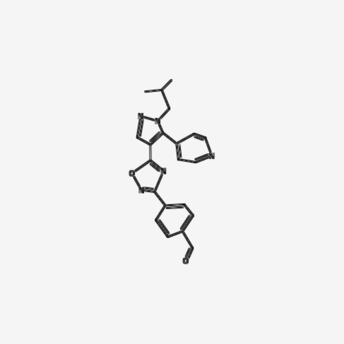 CC(C)Cn1ncc(-c2nc(-c3ccc(C=O)cc3)no2)c1-c1ccncc1